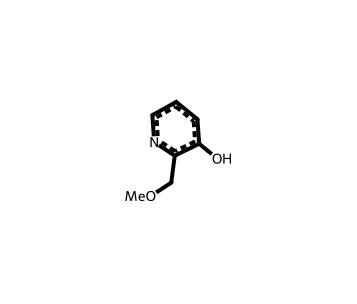 COCc1ncccc1O